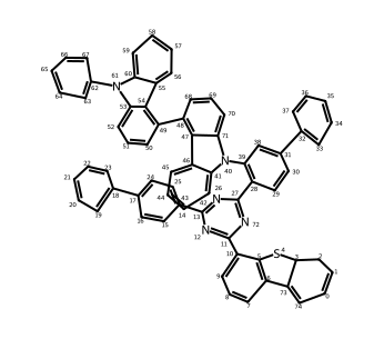 C1=CCC2Sc3c(cccc3-c3nc(-c4ccc(-c5ccccc5)cc4)nc(-c4ccc(-c5ccccc5)cc4-n4c5ccccc5c5c(-c6cccc7c6c6ccccc6n7-c6ccccc6)cccc54)n3)C2=C1